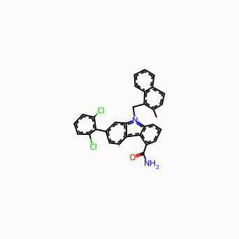 Cc1ccc2ccccc2c1Cn1c2cc(-c3c(Cl)cccc3Cl)c[c]c2c2c(C(N)=O)cccc21